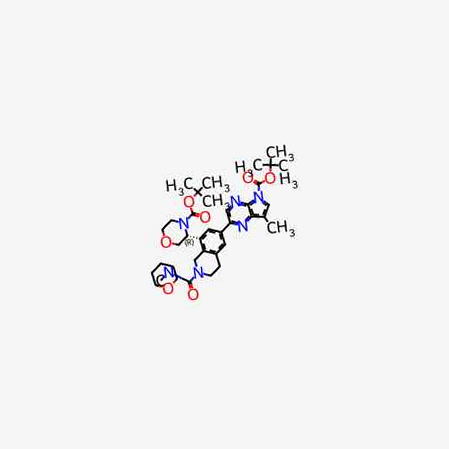 Cc1cn(C(=O)OC(C)(C)C)c2ncc(-c3cc4c(c([C@@H]5COCCN5C(=O)OC(C)(C)C)c3)CN(C(=O)N3CC5CCC3CO5)CC4)nc12